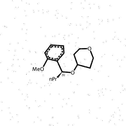 CCC[C@H](OC1CCOCC1)c1ccccc1OC